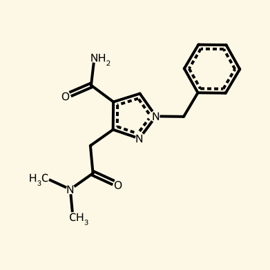 CN(C)C(=O)Cc1nn(Cc2ccccc2)cc1C(N)=O